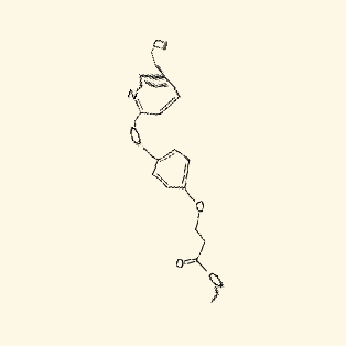 COC(=O)CCOc1ccc(Oc2ccc(Cl)cn2)cc1